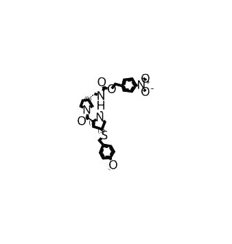 COc1ccc(CS[C@H]2C[C@@H](C(=O)N3CC[C@H](CNC(=O)OCc4ccc([N+](=O)[O-])cc4)C3)N(C)C2)cc1